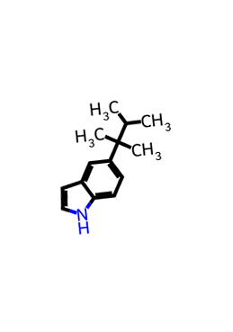 CC(C)C(C)(C)c1ccc2[nH]ccc2c1